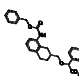 O=C(Nc1cccc2c1CC(COC(C(=O)O)c1ccccc1)CC2)OCc1ccccc1